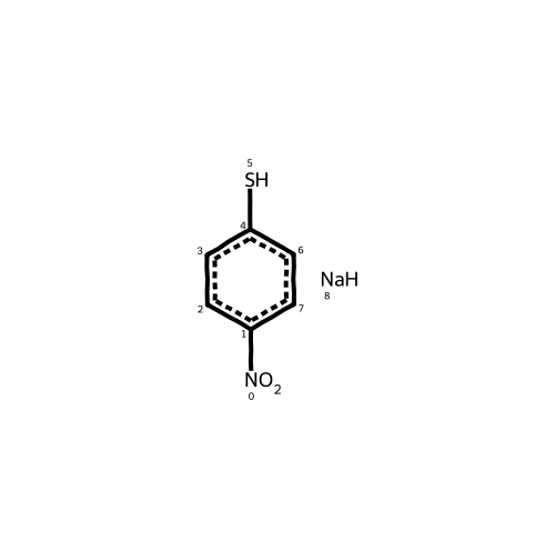 O=[N+]([O-])c1ccc(S)cc1.[NaH]